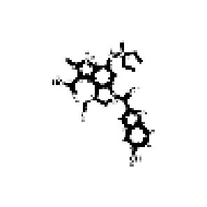 CC[Si](C)(CC)Oc1cc2c(c3c(C(=O)O)c(C)[nH]c13)[C@H](CCl)CN2C(=O)c1cc2cc(O)ccc2o1